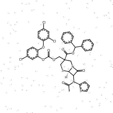 CC(=O)N(c1cccs1)C1C(=O)N2CC(COC(=O)Oc3cc(Cl)ccc3Oc3ccc(Cl)cc3Cl)(C(=O)OC(c3ccccc3)c3ccccc3)CS[C@H]12